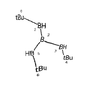 CC(C)(C)BB(BC(C)(C)C)BC(C)(C)C